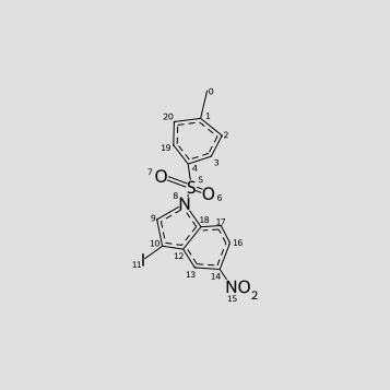 Cc1ccc(S(=O)(=O)n2cc(I)c3cc([N+](=O)[O-])ccc32)cc1